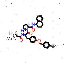 CN[C@@H](C)C(=O)NC(Cc1ccc(OCc2ccc(C(C)C)cc2)cc1)C(=O)N1CCCC1C(=O)NC1CCCc2ccccc21